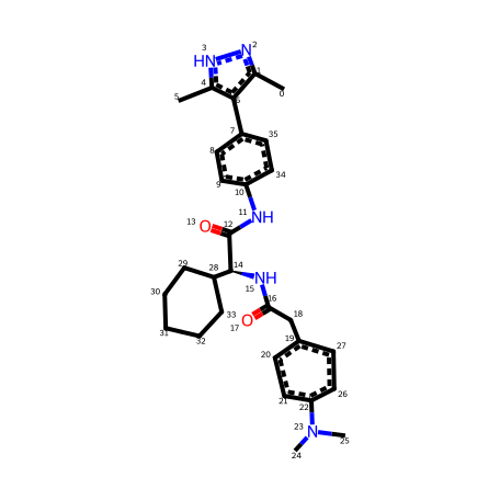 Cc1n[nH]c(C)c1-c1ccc(NC(=O)[C@@H](NC(=O)Cc2ccc(N(C)C)cc2)C2CCCCC2)cc1